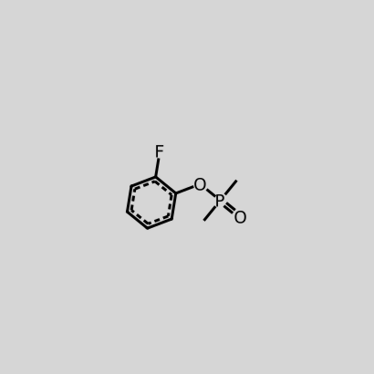 CP(C)(=O)Oc1ccccc1F